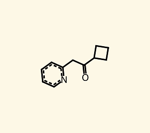 O=C(Cc1ccccn1)C1CCC1